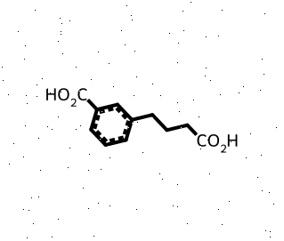 O=C(O)CCCc1cccc(C(=O)O)c1